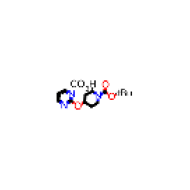 CC(C)(C)OC(=O)N1CCC(Oc2ncccn2)C[C@H]1C(=O)O